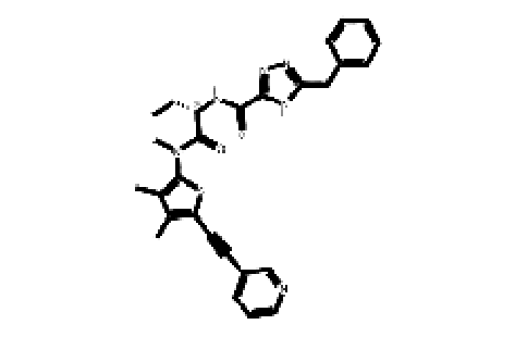 CC[C@H](NC(=O)c1nnc(Cc2ccccc2)[nH]1)C(=O)N(C)c1sc(C#Cc2cccnc2)c(C)c1C